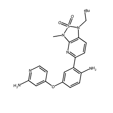 CN1c2nc(-c3cc(Oc4ccnc(N)c4)ccc3N)ccc2N(CC(C)(C)C)S1(=O)=O